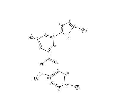 Cc1cnc(-c2cc(O)cc(C(=O)NC(C)c3cnc(C(F)(F)F)nc3)c2)s1